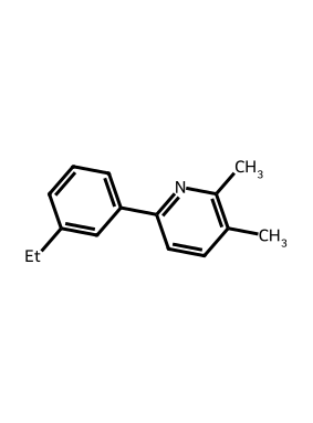 CCc1cccc(-c2ccc(C)c(C)n2)c1